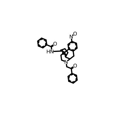 O=Nc1ccc2c(c1)C13CCN(CC(=O)c4ccccc4)C(C2)C12CCC(NC(=O)c1ccccc1)C3CC2